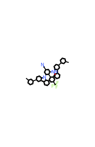 Cc1cccc(-c2ccc3c(c2)c2ccccc2n3-c2cc(C#N)cc(-n3c4ccccc4c4cc(-c5cccc(C)c5)ccc43)c2-c2ccc(C(F)(F)F)cc2C#N)c1